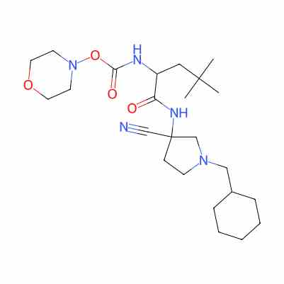 CC(C)(C)CC(NC(=O)ON1CCOCC1)C(=O)NC1(C#N)CCN(CC2CCCCC2)C1